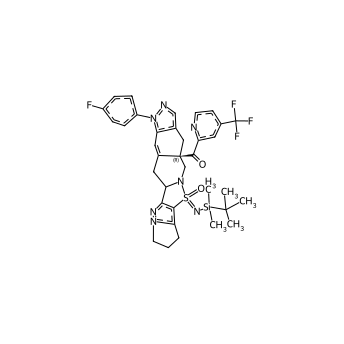 CC(C)(C)[Si](C)(C)N=S1(=O)c2c(nn3c2CCC3)C2CC3=Cc4c(cnn4-c4ccc(F)cc4)C[C@]3(C(=O)c3cc(C(F)(F)F)ccn3)CN21